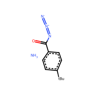 CC(C)(C)c1ccc(C(=O)N=[N+]=[N-])cc1.N